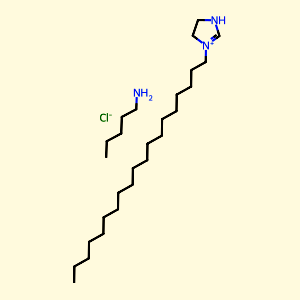 CCCCCCCCCCCCCCCCCCC[N+]1=CNCC1.CCCCCN.[Cl-]